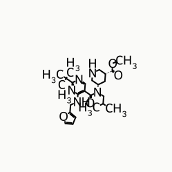 COC(=O)[C@H]1CNC[C@@H](N(CC(C)C)C(=O)c2cnc(C(C)(C)C)nc2NCc2ccco2)C1